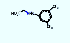 NCC(=O)O.O=Cc1cc(C(F)(F)F)cc(C(F)(F)F)c1